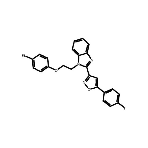 CCc1ccc(OCCn2c(-c3cc(-c4ccc(F)cc4)on3)nc3ccccc32)cc1